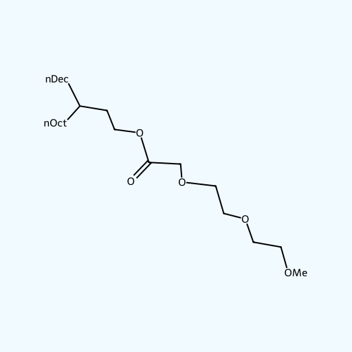 CCCCCCCCCCC(CCCCCCCC)CCOC(=O)COCCOCCOC